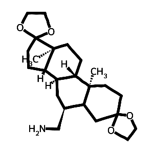 C[C@]12CCC3(CC1[C@@H](CN)C[C@@H]1[C@@H]2CC[C@@]2(C)[C@H]1CCC21OCCO1)OCCO3